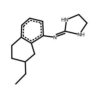 CCC1CCc2cccc(N=C3NCCN3)c2C1